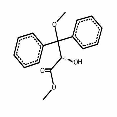 COC(=O)[C@@H](O)C(OC)(c1ccccc1)c1ccccc1